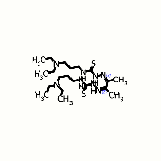 CCN(CC)CCCNC(=S)N/N=C(C)\C(C)=N/NC(=S)NCCCN(CC)CC